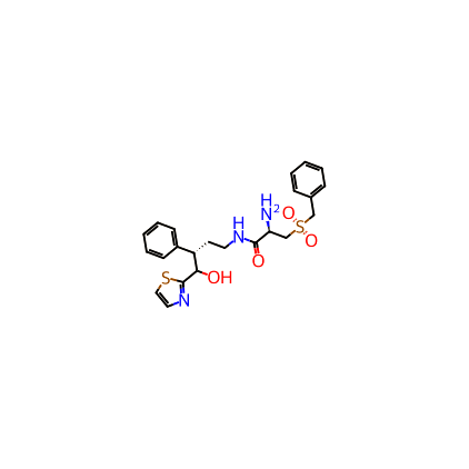 N[C@@H](CS(=O)(=O)Cc1ccccc1)C(=O)NCC[C@@H](c1ccccc1)C(O)c1nccs1